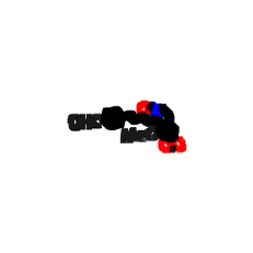 COc1c2c(cc3c1C(CC(=O)CCc1ccc(C=O)cc1)N(C)CC3)OCO2